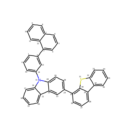 c1cc(-c2cccc3ccccc23)cc(-n2c3ccccc3c3cc(-c4cccc5c4sc4ccccc45)ccc32)c1